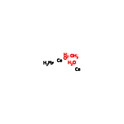 O.O.O.[Ce].[Ce].[PbH2]